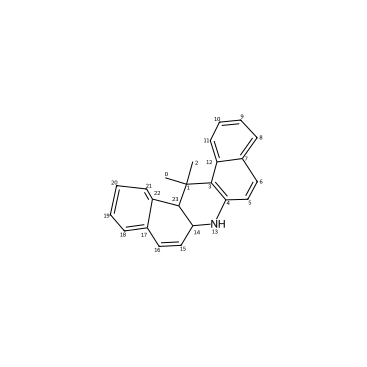 CC1(C)c2c(ccc3ccccc23)NC2C=Cc3ccccc3C21